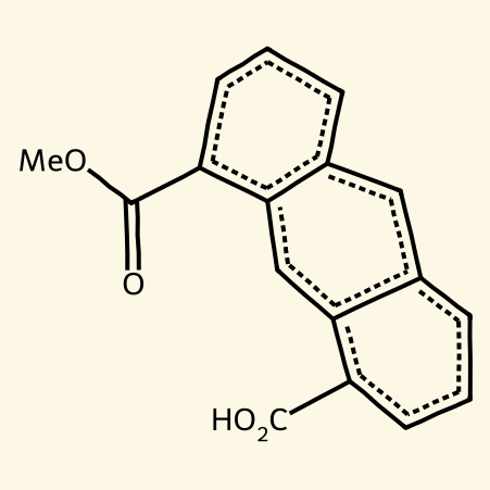 COC(=O)c1cccc2cc3cccc(C(=O)O)c3cc12